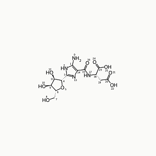 Nc1[nH]c([C@@H]2O[C@H](CO)[C@@H](O)[C@H]2O)nc1C(=O)N[C@@H](CC(=O)O)C(=O)O